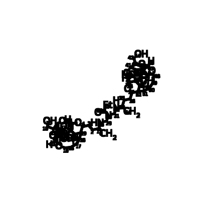 C=C(CCC1O[C@@H]2OC3C(CO)O[C@H](OCCCCC1[C@H](O)C2O)C(O)[C@H]3O)NCN(CNC(=C)CCC1O[C@@H]2OC3C(CO)O[C@H](OCCCCC1[C@H](O)C2O)C(O)[C@H]3O)C(=O)CC